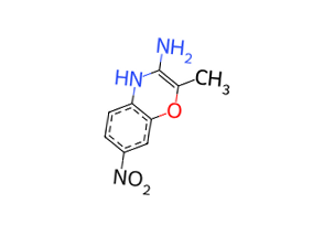 CC1=C(N)Nc2ccc([N+](=O)[O-])cc2O1